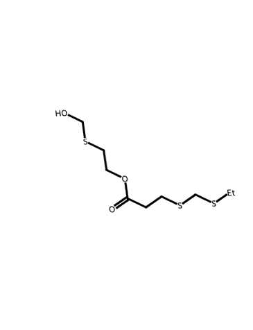 CCSCSCCC(=O)OCCSCO